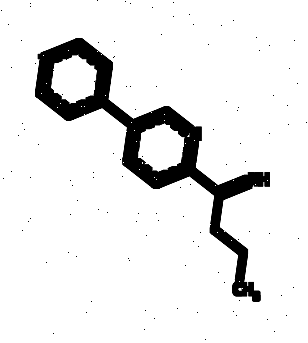 CCCC(=N)c1ccc(-c2cc[c]cc2)cn1